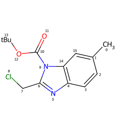 Cc1ccc2nc(CCl)n(C(=O)OC(C)(C)C)c2c1